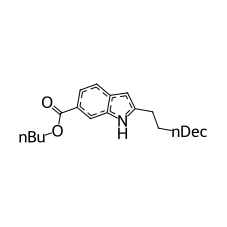 CCCCCCCCCCCCc1cc2ccc(C(=O)OCCCC)cc2[nH]1